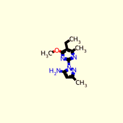 CCc1c(C)nc(-n2nc(C)cc2N)nc1OC